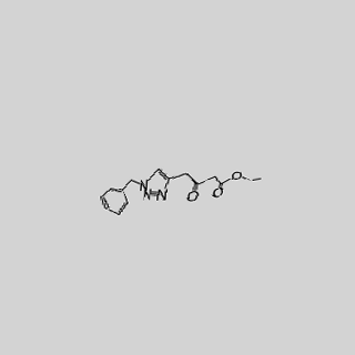 CCOC(=O)CC(=O)Cc1cn(Cc2ccccc2)nn1